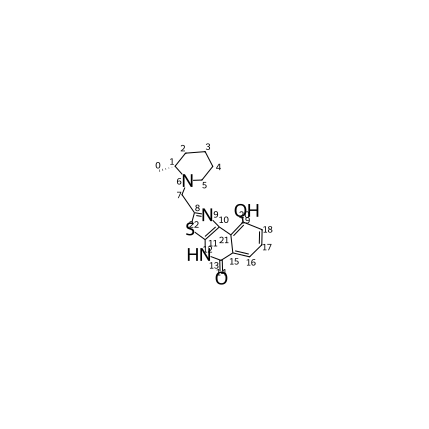 C[C@@H]1CCCCN1Cc1nc2c([nH]c(=O)c3cccc(O)c32)s1